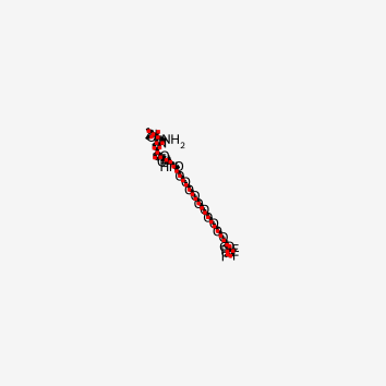 C=C(C1=Cc2ccc(-c3cccc(S(=O)(=O)N4CC(CNC(=O)CCOCCOCCOCCOCCOCCOCCOCCOCCOCCOCCC(=O)Oc5c(F)c(F)cc(F)c5F)C4)c3)cc2N=C(N)C1)N(CCC)OCC